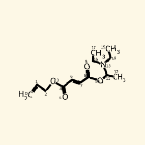 C=CCOC(=O)C=CC(=O)OC(C)N(CC)CC